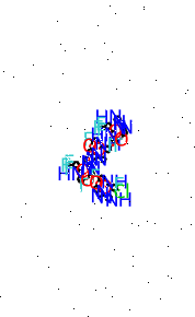 O=C(Nc1ccc(F)c(Oc2ccc3ncc(N4CCCC4)nc3c2)c1)c1cccc(C(F)(F)F)c1.O=C(Nc1ccc(F)c(Oc2ccc3ncc(N4CCCC4)nc3c2)c1)c1cccc(F)c1.O=C(Nc1ccc(F)c(Oc2ccc3ncc(N4CCNCC4)nc3c2)c1)c1ccc(Cl)c(F)c1.O=C(Nc1ccc(F)c(Oc2ccc3ncc(N4CCNCC4)nc3c2)c1)c1cccc(C(F)(F)F)c1